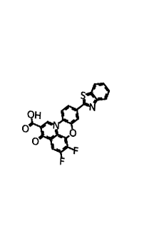 O=C(O)c1cn2c3c(c(F)c(F)cc3c1=O)Oc1cc(-c3nc4ccccc4s3)ccc1-2